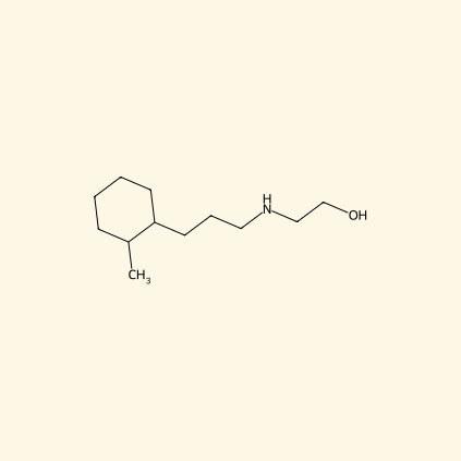 CC1CCCCC1CCCNCCO